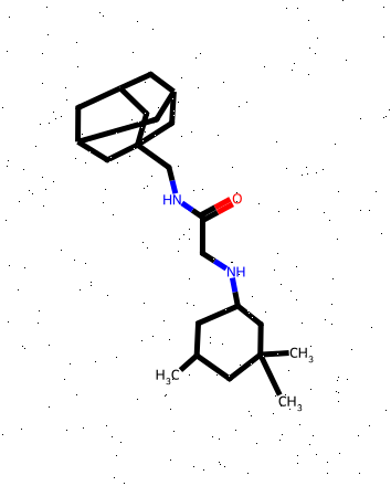 CC1CC(NCC(=O)NCC23CC4CC(CC(C4)C2)C3)CC(C)(C)C1